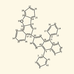 c1ccc(-c2c3ccccc3c(-c3ccccc3)c3cc(-c4cc5c6ccccc6oc5c5ccccc45)ccc23)cc1